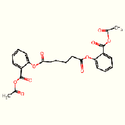 CC(=O)OC(=O)c1ccccc1OC(=O)CCCCC(=O)Oc1ccccc1C(=O)OC(C)=O